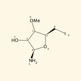 COC1C(O)[C@H](N)O[C@@H]1CI